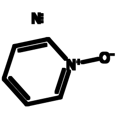 [N].[O-][n+]1ccccc1